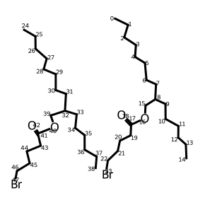 CCCCCCCCC(CCCCCC)COC(=O)CCCCBr.CCCCCCCCC(CCCCCC)COC(=O)CCCCBr